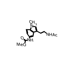 COC(=O)Nc1ccc2c(c1)c(CCNC(C)=O)cn2C